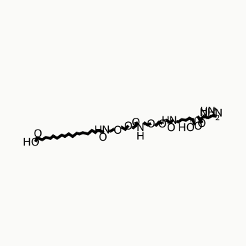 N[C@@H](Cc1cnc[nH]1)C(=O)C[C@@H](CCCCNC(=O)COCCOCCNC(=O)COCCOCCNC(=O)CCCCCCCCCCCCCCCCC(=O)O)C(=O)O